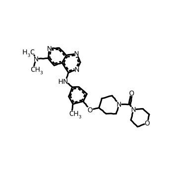 Cc1cc(Nc2ncnc3cnc(N(C)C)cc23)ccc1OC1CCN(C(=O)N2CCOCC2)CC1